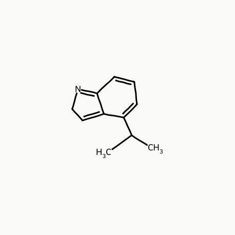 CC(C)c1cccc2c1=CCN=2